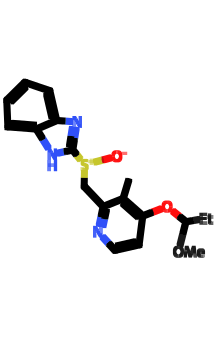 CCC(OC)Oc1ccnc(C[S+]([O-])c2nc3ccccc3[nH]2)c1C